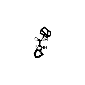 O=C(NC12CC3CC(CC(C3)C1)C2)c1nc2ccccc2[nH]1